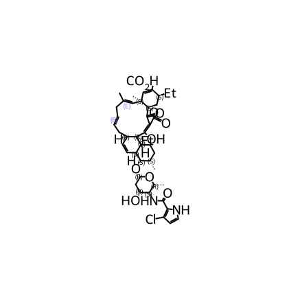 CC[C@H]1C[C@]23OC(=O)C(=C(O)[C@@]4(CC)[C@@H]5CC[C@H](C)[C@H](O[C@H]6C[C@@H](O)[C@H](NC(=O)c7[nH]ccc7Cl)[C@@H](C)O6)[C@H]5C=C[C@H]4C/C=C/C/C(C)=C/[C@@]2(C)C=C1C(=O)O)C3=O